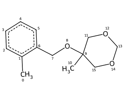 Cc1ccccc1COC1(C)COCOC1